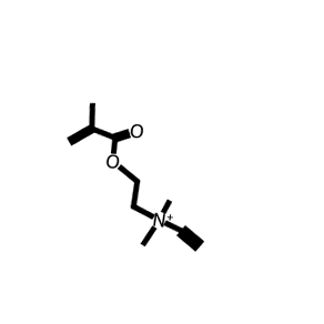 C#C[N+](C)(C)CCOC(=O)C(=C)C